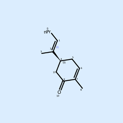 CCC/C=C(\C)[C@H]1CC=C(C)C(=O)C1